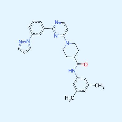 Cc1cc(C)cc(NC(=O)C2CCN(c3ccnc(-c4cccc(-n5cccn5)c4)n3)CC2)c1